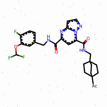 CC(=O)C12CCC(CNC(=O)c3cc(C(=O)NCc4ccc(F)c(OC(F)F)c4)nc4ccnn34)(CC1)CC2